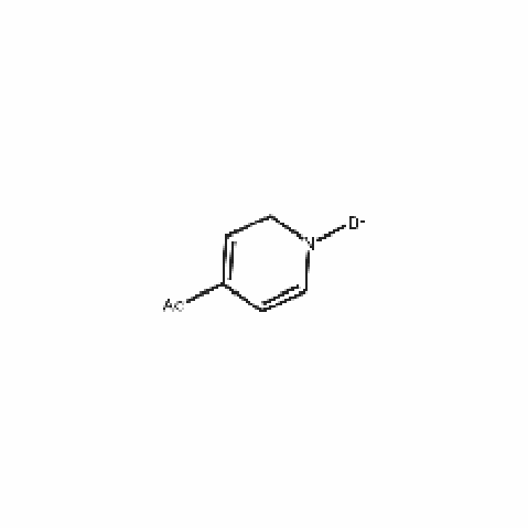 CC(=O)C1=CCN(Br)C=C1